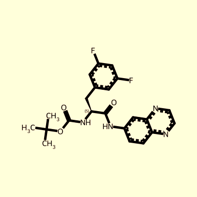 CC(C)(C)OC(=O)N[C@@H](Cc1cc(F)cc(F)c1)C(=O)Nc1ccc2nccnc2c1